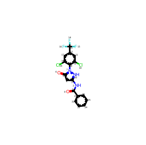 O=C(Nc1cc(=O)n(-c2c(Cl)cc(C(F)(F)F)cc2Cl)[nH]1)c1ccccc1